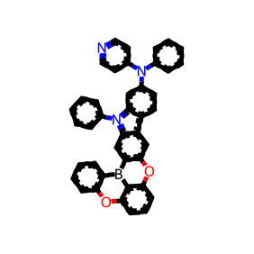 c1ccc(N(c2ccncc2)c2ccc3c4cc5c(cc4n(-c4ccccc4)c3c2)B2c3ccccc3Oc3cccc(c32)O5)cc1